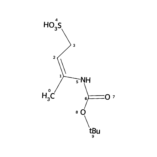 CC(=CCS(=O)(=O)O)NC(=O)OC(C)(C)C